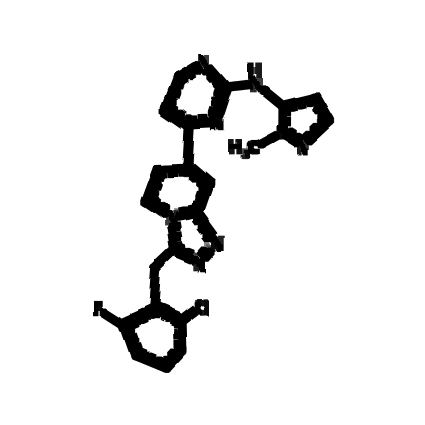 Cn1nccc1Nc1nccc(-c2ccn3c(Cc4c(F)cccc4Cl)nnc3c2)n1